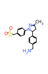 CC1=NN(c2ccc(C[SH](=O)=O)cc2)C(c2ccc(CN)cc2)C1